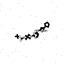 CC(C)(C)OC(=O)N1CC2(C1)CN(c1nccc(Nc3cc(C4CCCC4)[nH]n3)n1)C2